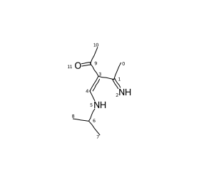 CC(=N)/C(=C\NC(C)C)C(C)=O